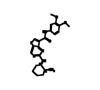 COc1ccc(NC(=O)c2csc3cnc(N[C@@H]4CCCC[C@@H]4N)nc23)cc1OC